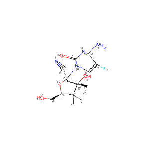 CC1(C)[C@@H](CO)O[C@@](C#N)(n2cc(F)c(N)nc2=O)[C@]1(C)O